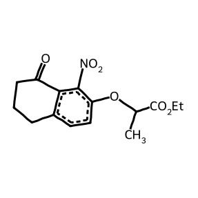 CCOC(=O)C(C)Oc1ccc2c(c1[N+](=O)[O-])C(=O)CCC2